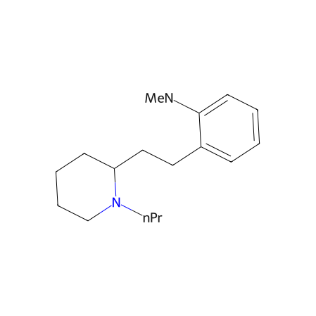 CCCN1CCCCC1CCc1ccccc1NC